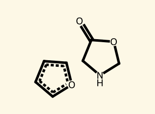 O=C1CNCO1.c1ccoc1